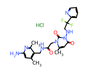 Cc1cc(N)nc(C)c1CNC(=O)Cn1c(C)cc(=O)n(NCC(F)(F)c2ccccn2)c1=O.Cl